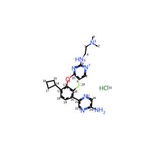 CN(C)CCNc1nccc(Oc2c(C3CCC3)ccc(-c3cnc(N)cn3)c2F)n1.Cl